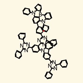 c1ccc(-c2nc(-c3ccccc3)nc(-c3ccc(-n4c5ccccc5c5cc(-c6nc(-c7ccccc7)nc(-c7ccccc7)n6)ccc54)c(-c4nc(-c5ccccc5)nc(-c5ccc(-c6ccc7c8c6N(c6ccccc6)c6ccccc6B8c6ccccc6N7c6ccccc6)cc5)n4)c3)n2)cc1